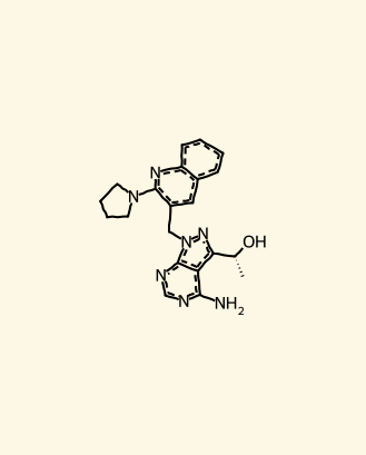 C[C@@H](O)c1nn(Cc2cc3ccccc3nc2N2CCCC2)c2ncnc(N)c12